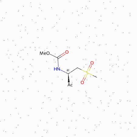 COC(=O)N[C@@H](CS(C)(=O)=O)C(C)=O